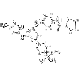 Cc1cc(Nc2cc(N3CCN(C(C)(C)C)CC3)nc(Sc3ccc(NC(=O)C4CCCC4)cc3)n2)[nH]n1